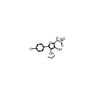 CCC.O=[SH](=O)Nc1oc(-c2ccc(Cl)cc2)c(O)c1O